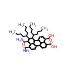 CCCCC(CCCC)c1c(C(N)=O)c2c(C(N)=O)ccc3c4ccc(C(=O)O)c5c(C(=O)O)ccc(c(c1C(CCCC)CCCC)c23)c54